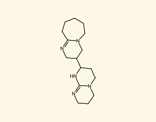 C1CCC2=NCC(C3CCN4CCCN=C4N3)CN2CC1